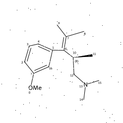 COc1cccc(C(=C(C)C)[C@@H](C)CN(C)C)c1